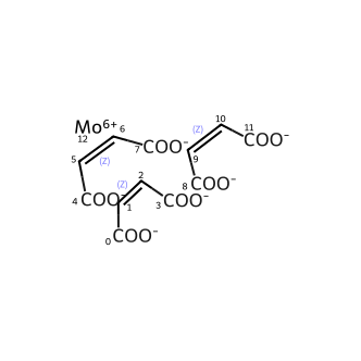 O=C([O-])/C=C\C(=O)[O-].O=C([O-])/C=C\C(=O)[O-].O=C([O-])/C=C\C(=O)[O-].[Mo+6]